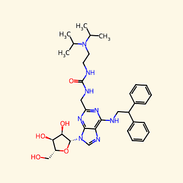 CC(C)N(CCNC(=O)NCc1nc(NCC(c2ccccc2)c2ccccc2)c2ncn([C@@H]3O[C@H](CO)[C@@H](O)[C@H]3O)c2n1)C(C)C